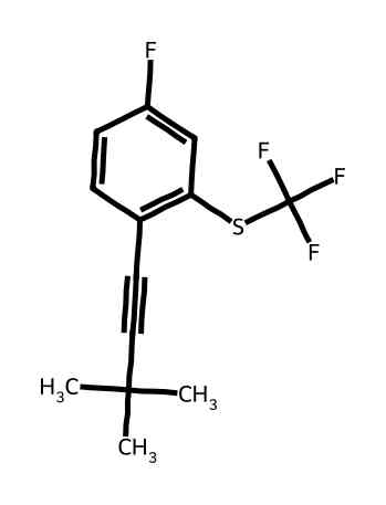 CC(C)(C)C#Cc1ccc(F)cc1SC(F)(F)F